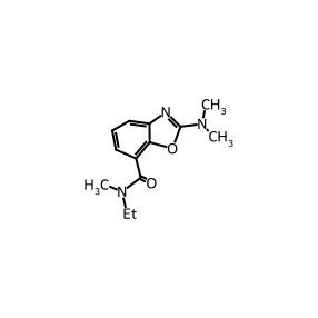 CCN(C)C(=O)c1cccc2nc(N(C)C)oc12